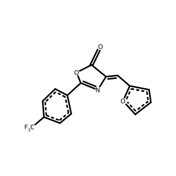 O=C1OC(c2ccc(C(F)(F)F)cc2)=NC1=Cc1ccco1